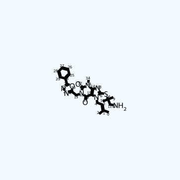 CC(C)=CCn1c(SC(C)(C)CN)nc2c1c(=O)n(Cc1nnc(-c3ccccc3)o1)c(=O)n2C